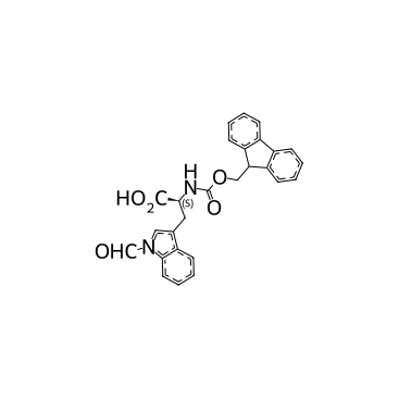 O=Cn1cc(C[C@H](NC(=O)OCC2c3ccccc3-c3ccccc32)C(=O)O)c2ccccc21